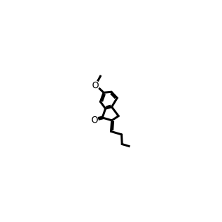 CCC/C=C1\Cc2ccc(OC)cc2C1=O